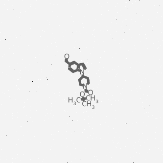 CC(C)(C)OC(=O)N1CCC(n2ccc3cc(C=O)ccc32)CC1